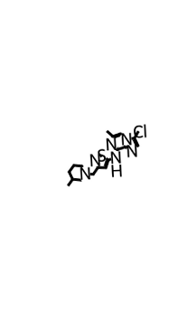 Cc1cn2c(Cl)cnc2c(Nc2cc(CN3CCCC(C)C3)ns2)n1